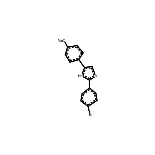 COc1ccc(-c2cnc(-c3ccc(Br)cc3)[nH]2)cc1